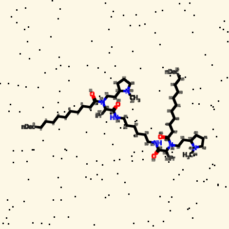 CCCCCCCCCCCCCCCCCCCC(=O)N(CCC1CCCN1C)C(C(=O)NCCCCCCNC(=O)C(C(C)C)N(CCC1CCCN1C)C(=O)CCCCCCCCCCCCCCCCCCC)C(C)C